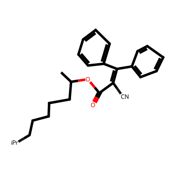 CC(C)CCCCCC(C)OC(=O)C(C#N)=C(c1ccccc1)c1ccccc1